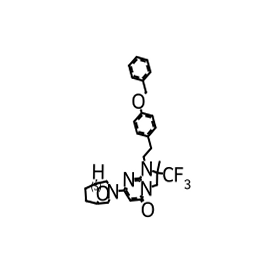 CC1(C(F)(F)F)Cn2c(nc(N3CC4CC[C@@H](C3)O4)cc2=O)N1CCc1ccc(OCc2ccccc2)cc1